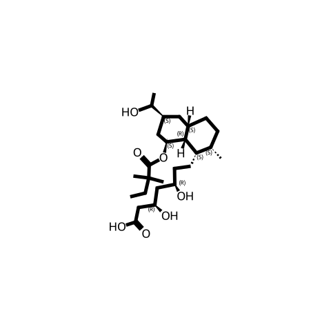 CCC(C)(C)C(=O)O[C@H]1C[C@@H](C(C)O)C[C@@H]2CC[C@H](C)[C@H](CC[C@@H](O)C[C@@H](O)CC(=O)O)[C@@H]21